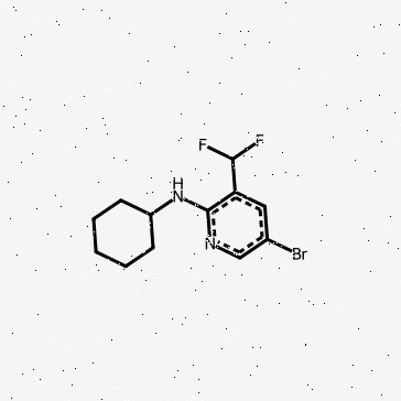 FC(F)c1cc(Br)cnc1NC1CCCCC1